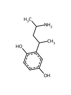 CC(N)CC(C)c1cc(O)ccc1O